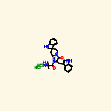 CC(C)(N)C(=O)N[C@H](Cc1c[nH]c2ccccc12)C(=O)N1CCC2(CC1)CNc1ccccc12.Cl.Cl